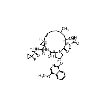 COc1cnc(O[C@@H]2C[C@H]3C(=O)N[C@]4(C(=O)NS(=O)(=O)C5(F)CC5)C[C@H]4C=CCCC(C)C[C@@H](C)[C@H](NC(=O)O)C(=O)N3C2)c2ccccc12